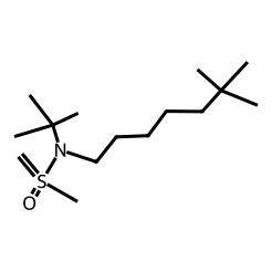 C=S(C)(=O)N(CCCCCC(C)(C)C)C(C)(C)C